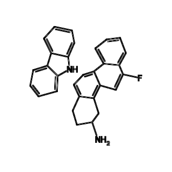 NC1CCc2ccc3c(cc(F)c4ccccc43)c2C1.c1ccc2c(c1)[nH]c1ccccc12